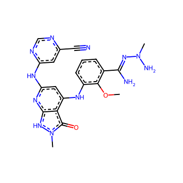 COc1c(Nc2cc(Nc3cc(C#N)ncn3)nc3[nH]n(C)c(=O)c23)cccc1/C(N)=N/N(C)N